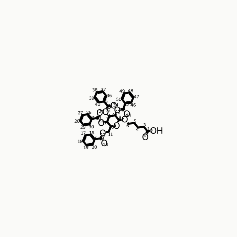 O=C(O)CCCCOC1OC(COC(=O)c2ccccc2)C(OC(=O)c2ccccc2)C(OC(=O)c2ccccc2)C1OC(=O)c1ccccc1